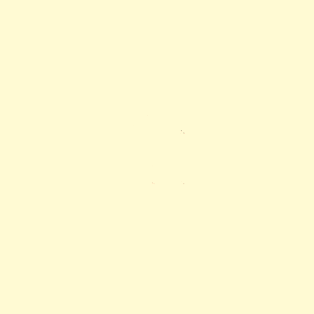 CCc1cccc(C23OCCN2C(=O)Nc2ccncc23)c1